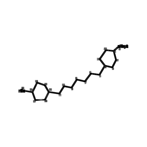 CCCCCCCC1CCC(CC[CH]CCCCC2CCC(CCCC)CC2)CC1